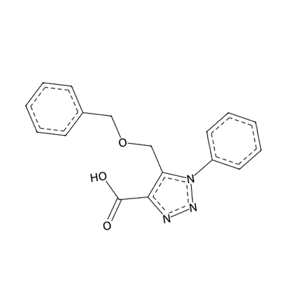 O=C(O)c1nnn(-c2ccccc2)c1COCc1ccccc1